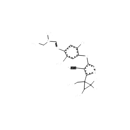 CCN(C)C=Nc1cc(Cl)c(Oc2snc(C3(CC)C(C)C3(Cl)Cl)c2C#N)cc1C